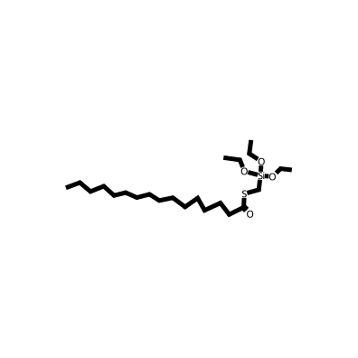 CCCCCCCCCCCCCCCC(=O)SC[Si](OCC)(OCC)OCC